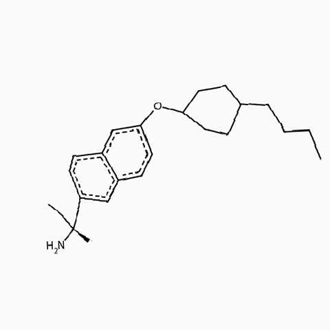 [CH2][C@](C)(N)c1ccc2cc(OC3CCC(CCCC)CC3)ccc2c1